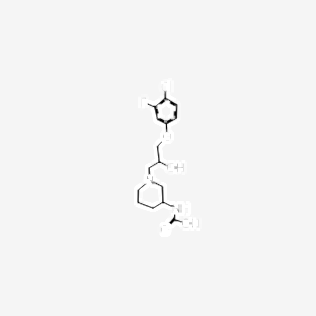 O=C(O)NC1CCCN(CC(O)COc2ccc(Cl)c(F)c2)C1